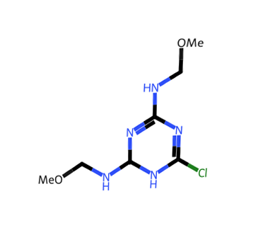 COCN[C]1N=C(NCOC)N=C(Cl)N1